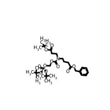 CC(C)(C)OC(=O)CCN(CCCC(=O)OCc1ccccc1)C(=O)OCOP(=O)(OC(C)(C)C)OC(C)(C)C